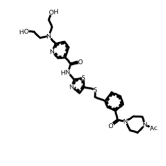 CC(=O)N1CCN(C(=O)c2cccc(CSc3cnc(NC(=O)c4ccc(N(CCO)CCO)nc4)s3)c2)CC1